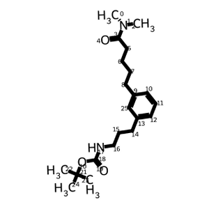 CN(C)C(=O)CCCCc1cccc(CCCNC(=O)OC(C)(C)C)c1